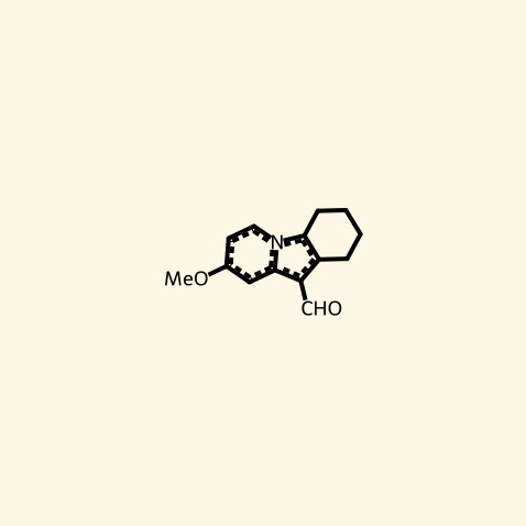 COc1ccn2c3c(c(C=O)c2c1)CCCC3